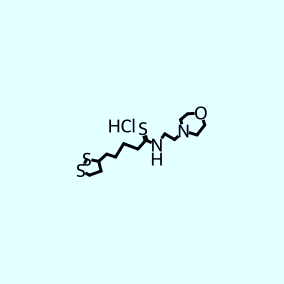 Cl.S=C(CCCCC1CCSS1)NCCN1CCOCC1